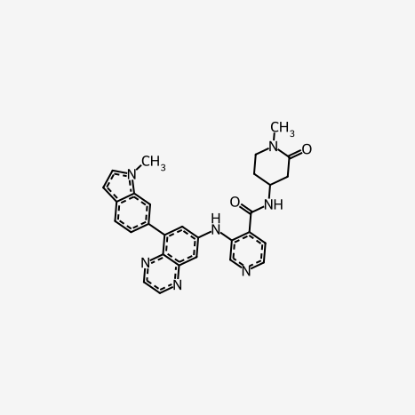 CN1CCC(NC(=O)c2ccncc2Nc2cc(-c3ccc4ccn(C)c4c3)c3nccnc3c2)CC1=O